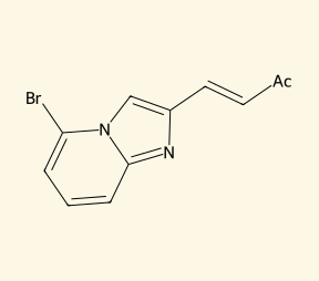 CC(=O)/C=C/c1cn2c(Br)cccc2n1